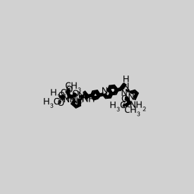 COC(=O)N[C@H](C(=O)N1CCC[C@H]1c1ncc(-c2ccc(-c3ccc4cc(-c5c[nH]c([C@@H]6CCCN6C(=O)[C@@H](N)C(C)C)n5)ccc4n3)cc2)[nH]1)[C@@H](C)OC